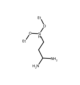 CCO[SiH](CCC(N)N)OCC